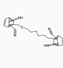 N#CC1(CCCCCCCCC2(C#N)C(=N)c3ccc2cc3)C(=N)c2ccc1cc2